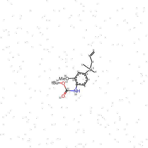 C=CC[Si](C)(C)c1ccc(NC(=O)OC(C)(C)C)c(OC)c1